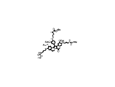 COBNCCCOc1cc2oc(=O)c3c(c(-c4ccc(OCCCNC(=O)OC(C)(C)C)c(OC)c4)c4c5cc(OC)c(OCCCNC(=O)OC(C)(C)C)cc5ccn43)c2cc1OC